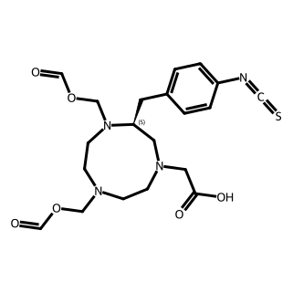 O=COCN1CCN(CC(=O)O)C[C@H](Cc2ccc(N=C=S)cc2)N(COC=O)CC1